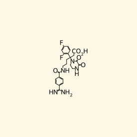 N=C(N)c1ccc(C(=O)NCCCC(CC(=O)O)(c2ccc(F)cc2F)N2CCNC(=O)C2=O)cc1